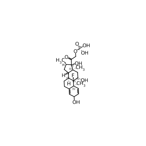 C[C@@H]1C[C@H]2[C@@H]3CCC4=CC(O)C=C[C@]4(C)[C@@]3(F)[C@@H](O)C[C@]2(C)[C@@]1(O)C(=O)COP(=O)(O)O